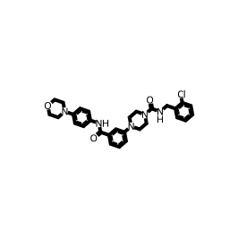 O=C(Nc1ccc(N2CCOCC2)cc1)c1cccc(N2CCN(C(=O)NCc3ccccc3Cl)CC2)c1